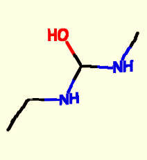 CCNC(O)NC